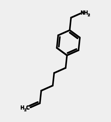 C=CCCCCc1ccc(CN)cc1